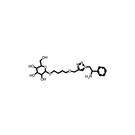 NC(Cn1cc(COCCCCSC2OC(CO)C(O)C(O)C2O)nn1)c1ccccc1